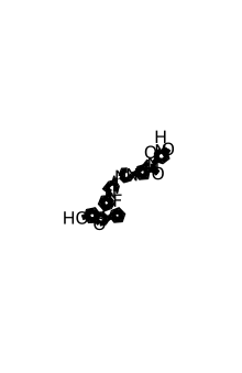 O=C1CCC(N2Cc3cc(N4CCN(CC5CCN(c6ccc([C@@H]7c8ccc(O)cc8OCC7c7ccccc7)cc6F)CC5)CC4)ccc3C2=O)C(=O)N1